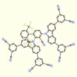 N#Cc1cc(C#N)cc(-c2ccc3c(c2)c2cc(-c4cc(C#N)cc(C#N)c4)ccc2n3-c2ccc(-c3c(C(F)(F)F)cccc3C(F)(F)F)c(-n3c4ccc(-c5cc(C#N)cc(C#N)c5)cc4c4cc(-c5cc(C#N)cc(C#N)c5)ccc43)c2C#N)c1